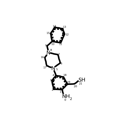 Nc1ccc(N2CCN(Cc3ccccc3)CC2)cc1CS